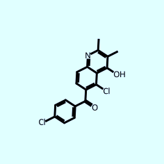 Cc1nc2ccc(C(=O)c3ccc(Cl)cc3)c(Cl)c2c(O)c1C